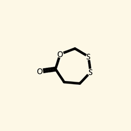 O=C1CCSSCO1